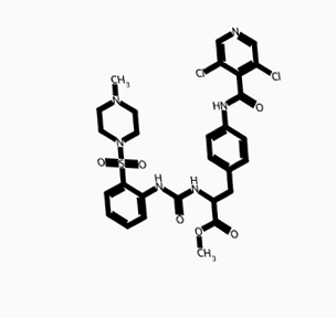 COC(=O)C(Cc1ccc(NC(=O)c2c(Cl)cncc2Cl)cc1)NC(=O)Nc1ccccc1S(=O)(=O)N1CCN(C)CC1